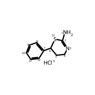 Cl.NC1=NCCC(c2ccccc2)S1